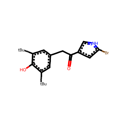 CC(C)(C)c1cc(CC(=O)c2c[nH]c(Br)c2)cc(C(C)(C)C)c1O